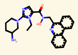 CCn1c(C(=O)N(O)Cc2nc3ccccc3c3ccccc23)cnc1N1CCCC(N)C1